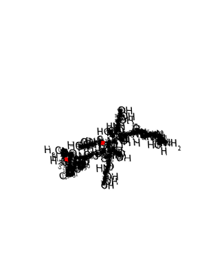 Cc1ccc(C(=O)N(CCCNC(=O)OCCSSC[C@@H](C)NC(=O)[C@H](CCC(=O)NCC[C@@H](O)C[C@H](O)CO)NC(=O)[C@H](CCC(=O)O)NC(=O)[C@H](CCC(=O)NCC[C@@H](O)C[C@H](O)CO)NC(=O)[C@H](CCC(=O)O)NC(=O)[C@H](CCC(=O)NCC[C@@H](O)C[C@H](O)CO)NC(=O)CCCNC(=O)c2ccc(NCc3cnc4nc(N)[nH]c(=O)c4n3)cc2)C(c2nc3cc(Cl)ccc3c(=O)n2Cc2ccccc2)C(C)C)cc1